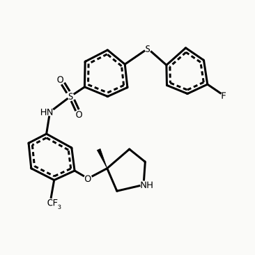 C[C@@]1(Oc2cc(NS(=O)(=O)c3ccc(Sc4ccc(F)cc4)cc3)ccc2C(F)(F)F)CCNC1